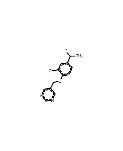 CC(C)c1ccc(OCc2cncnc2)c(Cl)c1